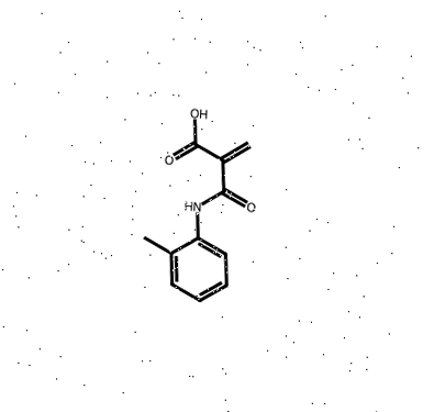 C=C(C(=O)O)C(=O)Nc1ccccc1C